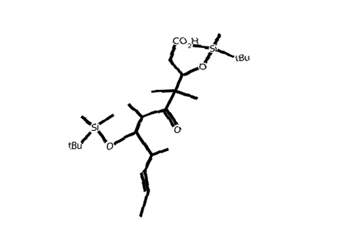 CC=CC(C)C(O[Si](C)(C)C(C)(C)C)C(C)C(=O)C(C)(C)C(CC(=O)O)O[Si](C)(C)C(C)(C)C